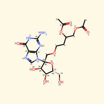 CC(=O)OCC(CCOC[C@@]1(n2cnc3c(=O)[nH]c(N)nc32)O[C@H](CO)[C@@H](O)[C@H]1O)OC(C)=O